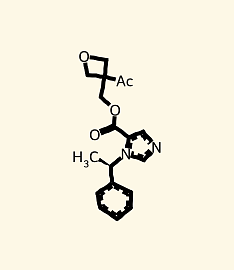 CC(=O)C1(COC(=O)c2cncn2[C@H](C)c2ccccc2)COC1